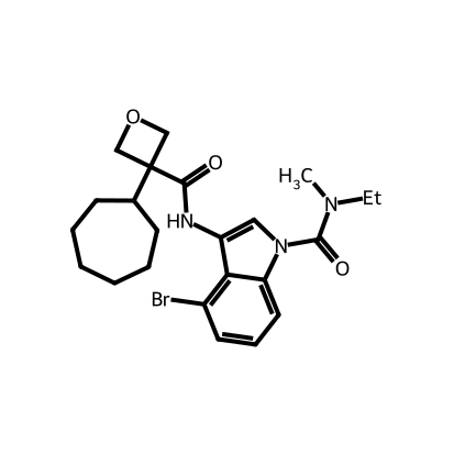 CCN(C)C(=O)n1cc(NC(=O)C2(C3CCCCCC3)COC2)c2c(Br)cccc21